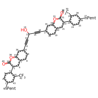 CCCCCc1ccc(-c2cc3ccc(C#CC(O)C#Cc4ccc5cc(-c6ccc(CCCCC)cc6C(F)(F)F)c(=O)oc5c4)cc3oc2=O)c(C(F)(F)F)c1